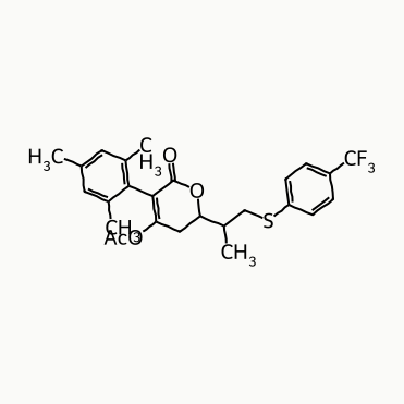 CC(=O)OC1=C(c2c(C)cc(C)cc2C)C(=O)OC(C(C)CSc2ccc(C(F)(F)F)cc2)C1